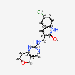 O=c1[nH]c2ccc(Cl)cc2cc1CNc1ncc2c(n1)CCOC2